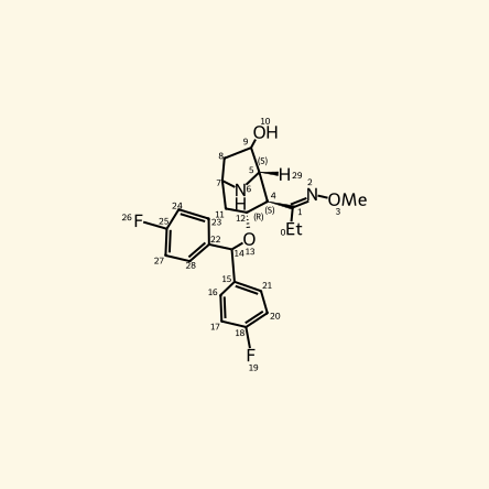 CCC(=NOC)[C@@H]1[C@@H]2NC(CC2O)C[C@H]1OC(c1ccc(F)cc1)c1ccc(F)cc1